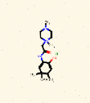 COC1(C)C=C(NC(=O)C[N+]2(C)CCN(C)CC2)C(O)=CC1C.[Cl-]